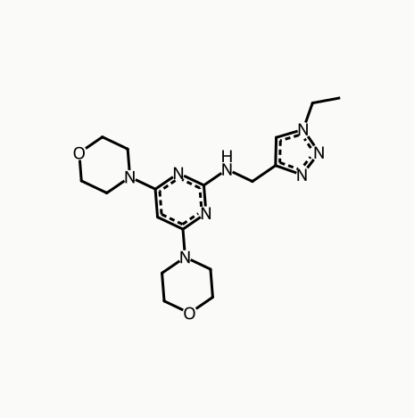 CCn1cc(CNc2nc(N3CCOCC3)cc(N3CCOCC3)n2)nn1